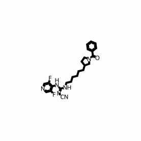 N#CN=C(NCCCCCCC1CCN(C(=O)c2ccccc2)C1)Nc1c(F)cncc1F